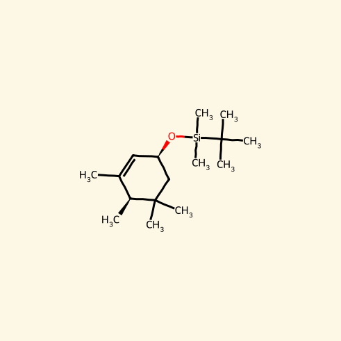 CC1=C[C@@H](O[Si](C)(C)C(C)(C)C)CC(C)(C)[C@H]1C